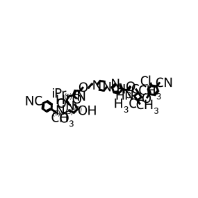 CC(C)[C@H](C(=O)N1C[C@H](O)C[C@H]1C(=O)N[C@@H](C)c1ccc(C#N)cc1)c1cc(OCCN2CCN(c3ccc(C(=O)N[C@H]4C(C)(C)[C@H](Oc5ccc(C#N)c(Cl)c5)C4(C)C)cn3)CC2)no1